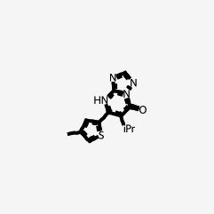 Cc1csc(-c2[nH]c3ncnn3c(=O)c2C(C)C)c1